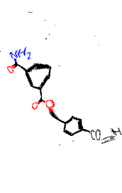 NC(=O)c1cccc(C(=O)OCc2ccc(C(=O)O)cc2)c1